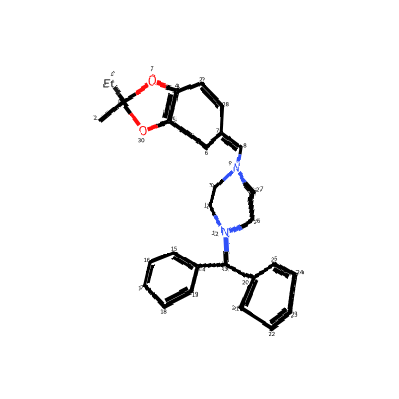 CCC1(C)OC2=C(CC(=CN3CCN(C(c4ccccc4)c4ccccc4)CC3)C=C2)O1